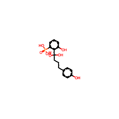 O=P(O)(O)c1cccc(O)c1C(O)(O)CCCc1ccc(O)cc1